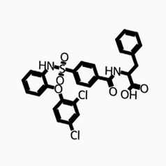 O=C(NC(Cc1ccccc1)C(=O)O)c1ccc(S(=O)(=O)Nc2ccccc2Oc2ccc(Cl)cc2Cl)cc1